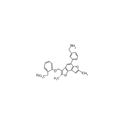 CCOC(=O)Cc1ccccc1OCc1c(C)oc2c1cc(-c1cccc(CN)c1)c1oc(C)cc12